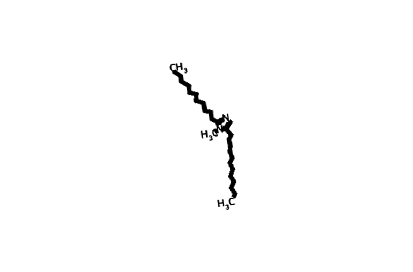 CCCCCCCCCCCCc1cnc(CCCCCCCCCCCC)n1C